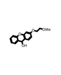 COCCOc1ccc2c(c1)Oc1ccccc1C2O